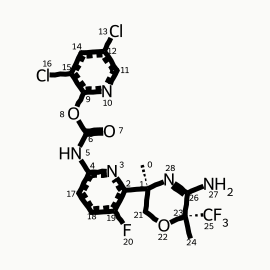 C[C@@]1(c2nc(NC(=O)Oc3ncc(Cl)cc3Cl)ccc2F)CO[C@@](C)(C(F)(F)F)C(N)=N1